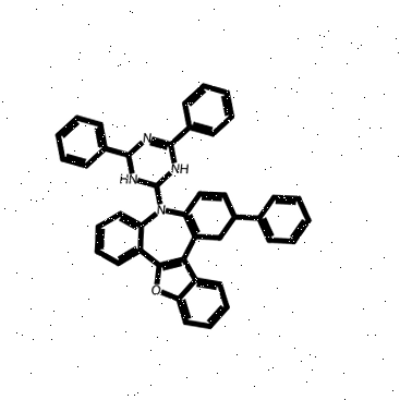 C1=CC(c2ccccc2)CC2=C1N(C1NC(c3ccccc3)=NC(c3ccccc3)N1)c1ccccc1-c1oc3ccccc3c12